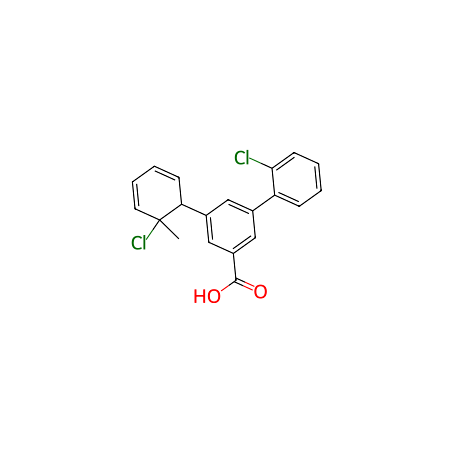 CC1(Cl)C=CC=CC1c1cc(C(=O)O)cc(-c2ccccc2Cl)c1